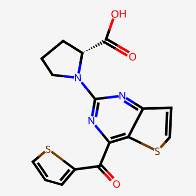 O=C(c1cccs1)c1nc(N2CCC[C@@H]2C(=O)O)nc2ccsc12